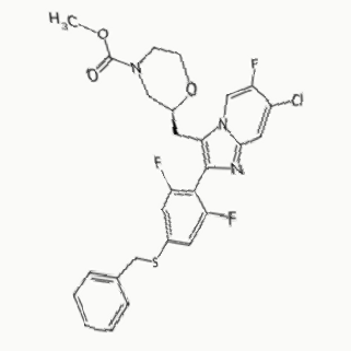 COC(=O)N1CCO[C@@H](Cc2c(-c3c(F)cc(SCc4ccccc4)cc3F)nc3cc(Cl)c(F)cn23)C1